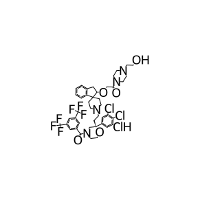 Cl.O=C(CO[C@H]1Cc2ccccc2C12CCN(CC[C@]1(c3ccc(Cl)c(Cl)c3)CN(C(=O)c3cc(C(F)(F)F)cc(C(F)(F)F)c3)CCO1)CC2)N1CCN(CCO)CC1